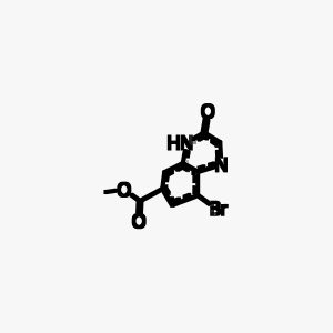 COC(=O)c1cc(Br)c2ncc(=O)[nH]c2c1